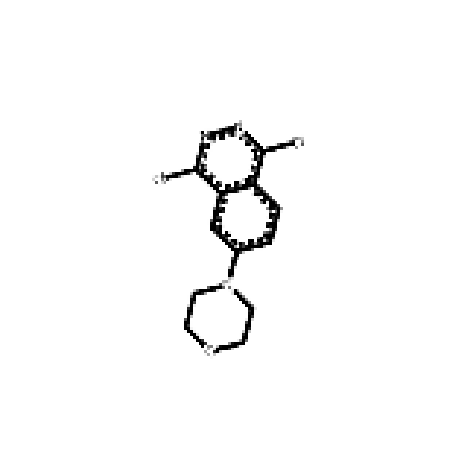 Clc1nnc(Cl)c2cc(N3CCOCC3)ccc12